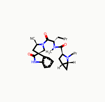 CC(C)C[C@@H](C(=O)N1C[C@]2(C[C@H]1C#N)C(=O)Nc1ccccc12)N(C)C(=O)[C@@H]1C[C@H]2C[C@H]2N1C(C)C